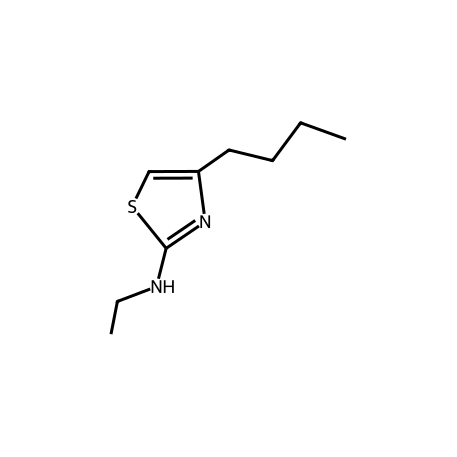 CCCCc1csc(NCC)n1